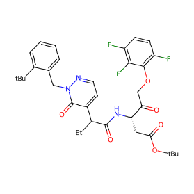 CCC(C(=O)N[C@@H](CC(=O)OC(C)(C)C)C(=O)COc1c(F)ccc(F)c1F)c1ccnn(Cc2ccccc2C(C)(C)C)c1=O